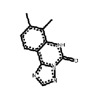 Cc1ccc2c([nH]c(=O)n3ncnc23)c1C